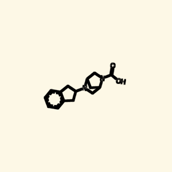 O=C(O)N1CC2CC1CN2C1Cc2ccccc2C1